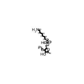 CC(C)O[C@@H]1C(O)[C@H](C)O[C@@H]1COP(=O)(O)OCCCCCCN